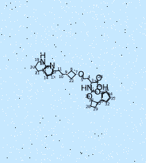 O=C(NC(CCO[C@H]1C[C@H](CCc2ccc3c(n2)NCCC3)C1)C(=O)O)OC1CCC1c1ccccc1